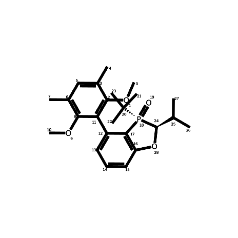 COc1c(C)cc(C)c(OC)c1-c1cccc2c1[P@](=O)(C(C)(C)C)[C@@H](C(C)C)O2